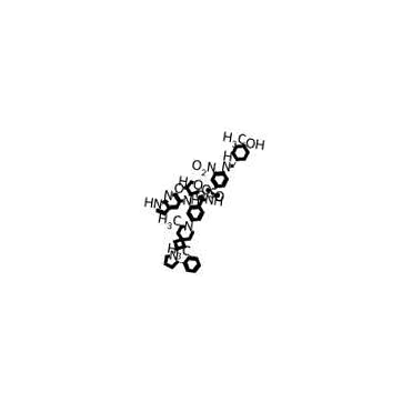 Cc1ccccc1[C@@H]1CCCN1C1CC2(CCN(c3ccc(C(=O)NS(=O)(=O)c4ccc(NC[C@H]5CC[C@](C)(O)CC5)c([N+](=O)[O-])c4)c(N4c5cc6cc[nH]c6nc5O[C@@H]5COC[C@H]54)c3)[C@@H](C)C2)C1